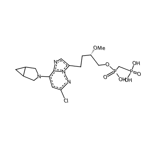 CO[C@@H](CCc1cnc2c(N3CC4CC4C3)cc(Cl)nn12)COP(=O)(O)CP(=O)(O)O